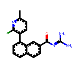 Cc1ccc(-c2cccc3ccc(C(=O)N=C(N)N)cc23)c(F)n1